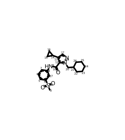 CS(=O)(=O)c1cccc(NC(=O)c2c(C3CC3)cnn2CC2CCCCC2)c1